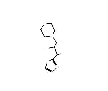 OC(CN1CCNCC1)C(O)c1nccs1